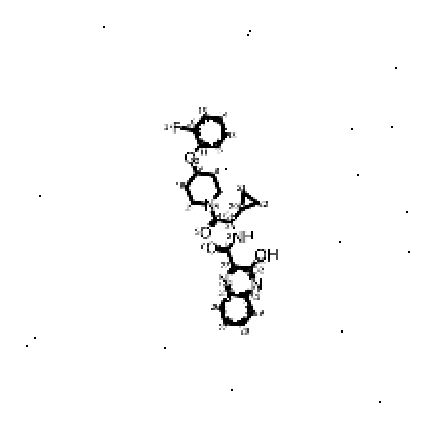 O=C(N[C@H](C(=O)N1CCC(Oc2ccccc2F)CC1)C1CC1)c1nc2ccccc2nc1O